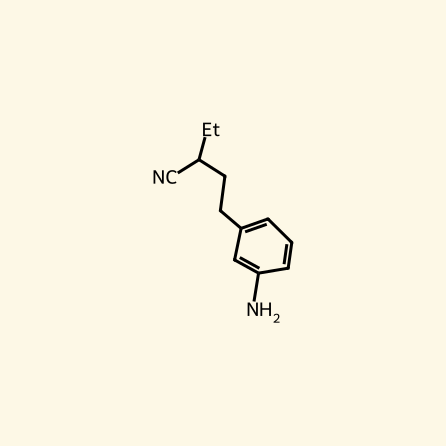 CCC(C#N)CCc1cccc(N)c1